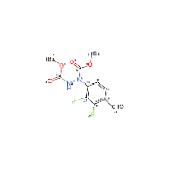 CC(C)(C)OC(=O)NN(C(=O)OC(C)(C)C)c1ccc(C=O)c(F)c1F